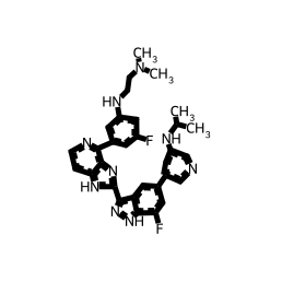 CC(C)Nc1cncc(-c2cc(F)c3[nH]nc(-c4nc5c(-c6cc(F)cc(NCCN(C)C)c6)nccc5[nH]4)c3c2)c1